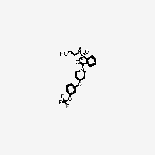 CN(CCO)S(=O)(=O)c1ccccc1C(=O)N1CCC(Oc2cccc(OC(F)(F)F)c2)CC1